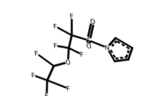 O=S(=O)(n1cccc1)C(F)(F)C(F)(F)OC(F)C(F)(F)F